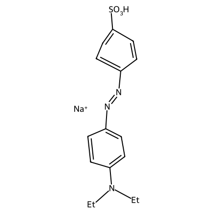 CCN(CC)c1ccc(N=Nc2ccc(S(=O)(=O)O)cc2)cc1.[Na+]